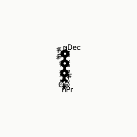 CCCCCCCCCCc1ccc(-c2ccc(-c3ccc(C4COC(CCC)OC4)c(F)c3)cc2)c(F)c1F